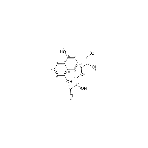 OC(CCl)COCC(O)CCl.Oc1cccc2c(O)cccc12